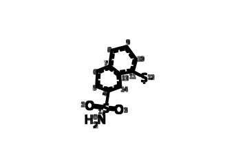 NS(=O)(=O)c1ccc2cccc([S])c2c1